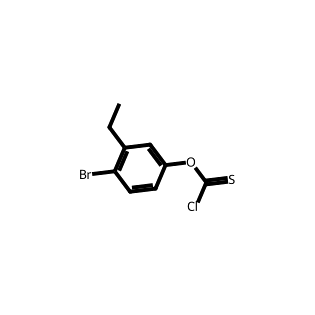 CCc1cc(OC(=S)Cl)ccc1Br